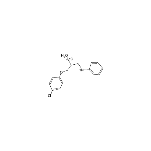 CC(=O)OC(CNc1ccccc1)COc1ccc(Cl)cc1.O